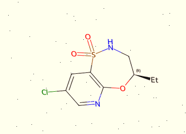 CC[C@@H]1CNS(=O)(=O)c2cc(Cl)cnc2O1